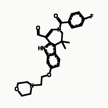 CC1(C)CN(C(=O)c2ccc(F)cc2)C=C(C=O)c2[nH]c3cc(OCCN4CCOCC4)ccc3c21